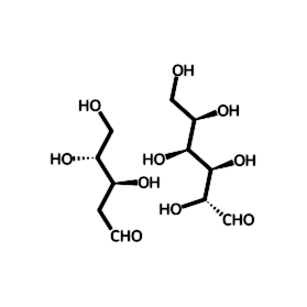 O=CC[C@H](O)[C@H](O)CO.O=C[C@H](O)[C@H](O)[C@@H](O)[C@H](O)CO